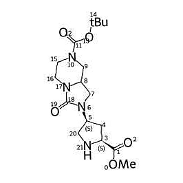 COC(=O)[C@@H]1C[C@H](N2CC3CN(C(=O)OC(C)(C)C)CCN3C2=O)CN1